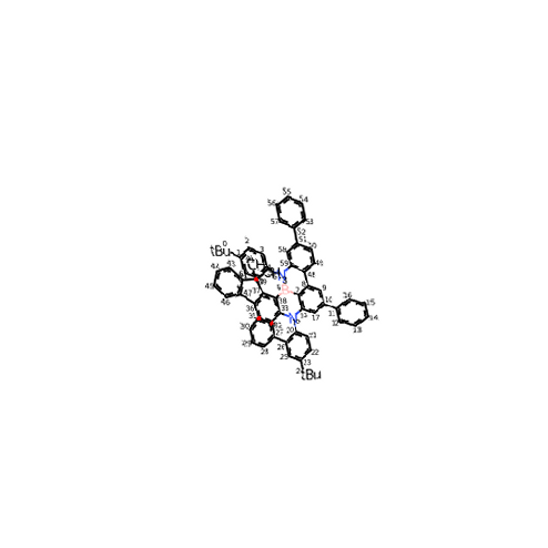 CC(C)(C)c1ccc(N2B3c4c(cc(-c5ccccc5)cc4N(c4ccc(C(C)(C)C)cc4-c4ccccc4)c4ccc5c(c43)C(C)(C)c3ccccc3-5)-c3ccc(-c4ccccc4)cc32)cc1